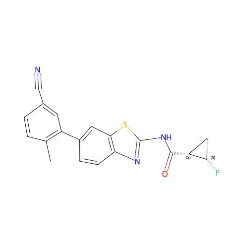 Cc1ccc(C#N)cc1-c1ccc2nc(NC(=O)[C@@H]3C[C@@H]3F)sc2c1